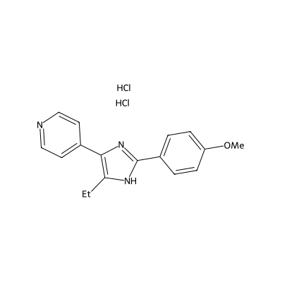 CCc1[nH]c(-c2ccc(OC)cc2)nc1-c1ccncc1.Cl.Cl